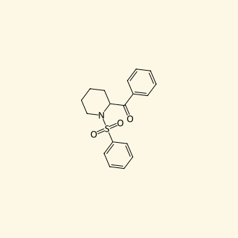 O=C(c1ccccc1)C1CCCCN1S(=O)(=O)c1ccccc1